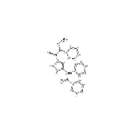 CC(C)(C)CN(C(=O)c1cc(NC(=O)c2cnccc2-c2ccccc2)no1)c1ccccc1